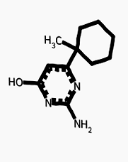 CC1(c2cc(O)nc(N)n2)CCCCC1